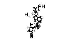 CCC1(CN(C=O)CCO)CCc2c(C3=NOC(c4cccc(C#N)c4)N3)cccc21